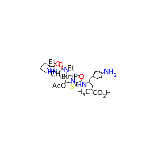 CC[C@H](C)[C@H](NC(=O)C1(CC)CCCCN1C)C(=O)N(CC)[C@H](C[C@@H](OC(C)=O)c1nc(C(=O)N[C@@H](Cc2ccc(N)cc2)C[C@H](C)C(=O)O)cs1)C(C)C